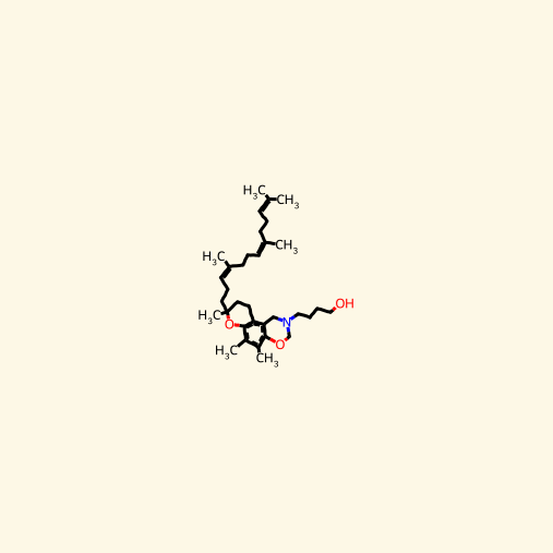 CC(C)=CCCC(C)=CCCC(C)=CCCC1(C)CCc2c3c(c(C)c(C)c2O1)OCN(CCCCO)C3